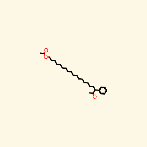 CC(=O)OCCCCCCCCCCCCCCCCCC(C(C)=O)c1ccccc1